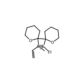 C=C[SiH](C)C1(C2([SiH2]CC)CCCCO2)CCCCO1